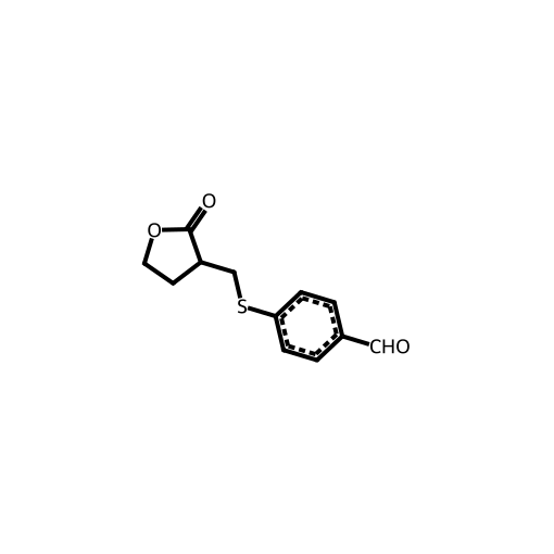 O=Cc1ccc(SCC2CCOC2=O)cc1